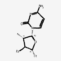 CCC1[C@@H](CC)O[C@@H](n2ccc(N)nc2=O)[C@H]1C